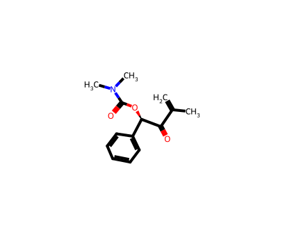 C=C(C)C(=O)[C@H](OC(=O)N(C)C)c1ccccc1